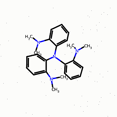 CN(C)c1ccccc1N(c1ccccc1N(C)C)c1ccccc1N(C)C